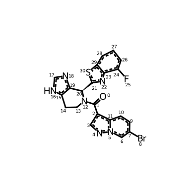 O=C(c1cnn2cc(Br)ccc12)N1CCc2[nH]cnc2[C@H]1c1nc2c(F)cccc2s1